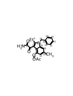 CCc1c(C(=O)C(N)=O)c2c(OOC(C)=O)cc(C)cc2n1Cc1ccccc1